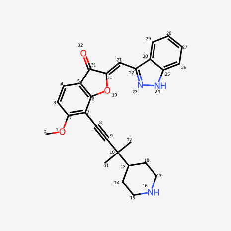 COc1ccc2c(c1C#CC(C)(C)C1CCNCC1)O/C(=C\c1n[nH]c3ccccc13)C2=O